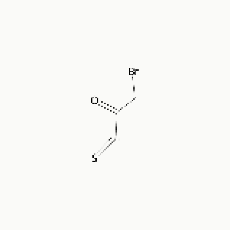 O=C([C]=S)CBr